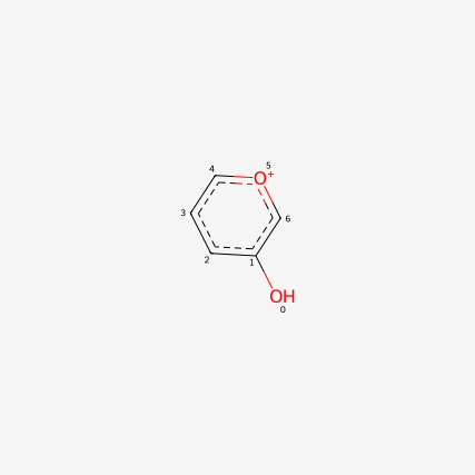 Oc1ccc[o+]c1